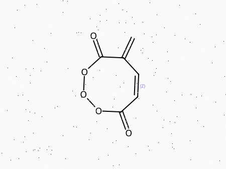 C=C1/C=C\C(=O)OOOC1=O